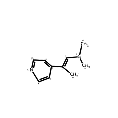 [CH2]C(=CN(C)C)c1ccncc1